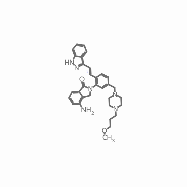 COCCCN1CCN(Cc2ccc(/C=C/c3n[nH]c4ccccc34)c(N3Cc4c(N)cccc4C3=O)c2)CC1